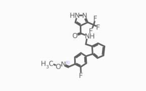 CO/N=C/c1ccc(-c2ccccc2CNC(=O)c2c[nH]nc2C(F)(F)F)cc1F